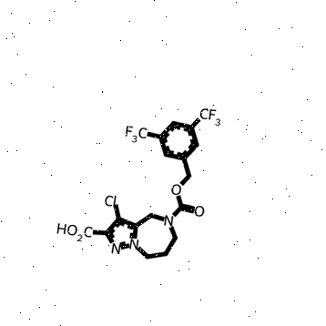 O=C(O)c1nn2c(c1Cl)CN(C(=O)OCc1cc(C(F)(F)F)cc(C(F)(F)F)c1)CCC2